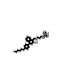 CCCCCCc1ccc(-c2ccc(CNCCCO[PH](=O)O)c3ccccc23)cc1